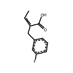 CC=C(Cc1cccc(F)c1)C(=O)O